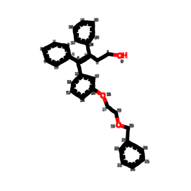 OCCC(=C(c1ccccc1)c1cccc(OCCOCc2ccccc2)c1)c1ccccc1